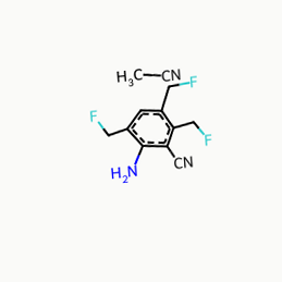 CC#N.N#Cc1c(N)c(CF)cc(CF)c1CF